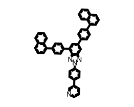 c1cncc(-c2ccc(-n3nc4cc(-c5ccc(-c6cccc7ccccc67)cc5)cc(-c5ccc(-c6cccc7ccccc67)cc5)c4n3)cc2)c1